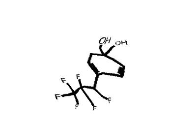 OC1(O)C=CC(C(F)C(F)(F)C(F)(F)F)=CC1